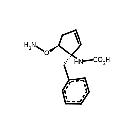 NO[C@H]1CC=C[C@@]1(Cc1ccccc1)NC(=O)O